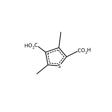 Cc1sc(C(=O)O)c(C)c1C(=O)O